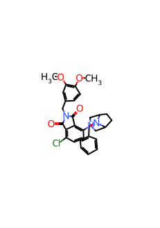 COc1ccc(CN2C(=O)c3c(Cl)ccc(N4CC5CCC(C4)N5Cc4ccccc4)c3C2=O)cc1OC